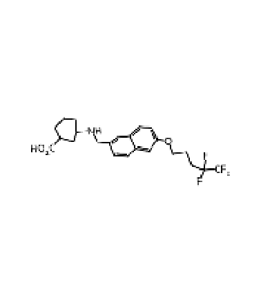 O=C(O)C1CCCC(NCc2ccc3cc(OCCCC(F)(F)C(F)(F)F)ccc3c2)C1